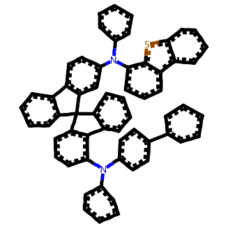 c1ccc(-c2ccc(N(c3ccccc3)c3cccc4c3-c3ccccc3C43c4ccccc4-c4ccc(N(c5ccccc5)c5cccc6c5sc5ccccc56)cc43)cc2)cc1